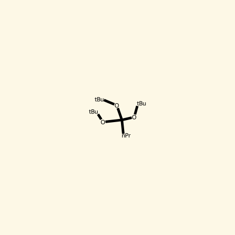 [CH2]CCC(OC(C)(C)C)(OC(C)(C)C)OC(C)(C)C